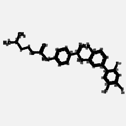 CN(C)CCOC(=O)Nc1ccc(C(=O)Nc2cc(-c3cc(F)c(F)cc3F)ccc2N)cc1